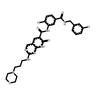 O=C(NCc1cccc(Cl)c1)c1ccc(Cl)c(NC(=O)c2cc3cnc(NCCCN4CCOCC4)nc3[nH]c2=O)c1